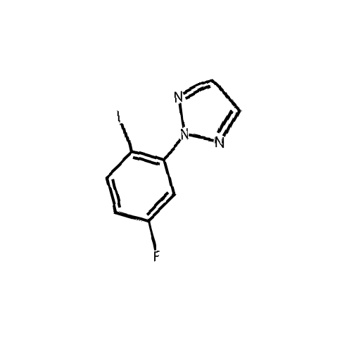 Fc1ccc(I)c(-n2nccn2)c1